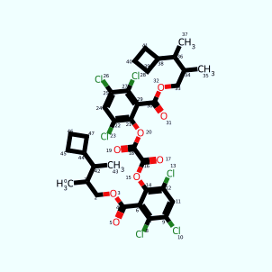 CC(COC(=O)c1c(Cl)c(Cl)cc(Cl)c1OC(=O)C(=O)Oc1c(Cl)cc(Cl)c(Cl)c1C(=O)OCC(C)C(C)C1CCC1)C(C)C1CCC1